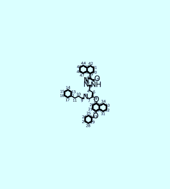 O=c1[nH]c(CC=C(CN=CCCc2ccccc2)Oc2ccc(Oc3ccccc3)c3ccccc23)nnc1-c1cccc2ccccc12